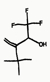 C=C(C(O)C(F)(F)F)C(C)(C)C